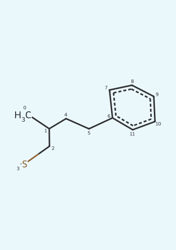 CC(C[S])CCc1ccccc1